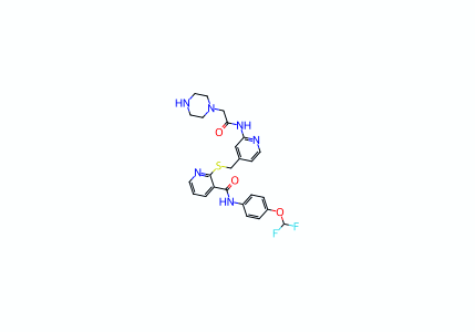 O=C(CN1CCNCC1)Nc1cc(CSc2ncccc2C(=O)Nc2ccc(OC(F)F)cc2)ccn1